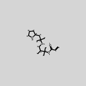 C=CC(=O)OC(C)(C)C(C)COC(C)(C)CC1CCCO1